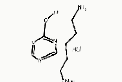 CCCCCCCCCCCCCCN.CCOc1ncncn1.Cl